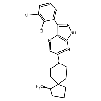 C[C@@H]1CCCC12CCN(c1cnc3c(-c4cccc(Cl)c4Cl)n[nH]c3n1)CC2